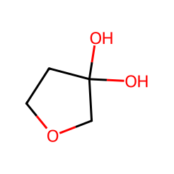 OC1(O)CCOC1